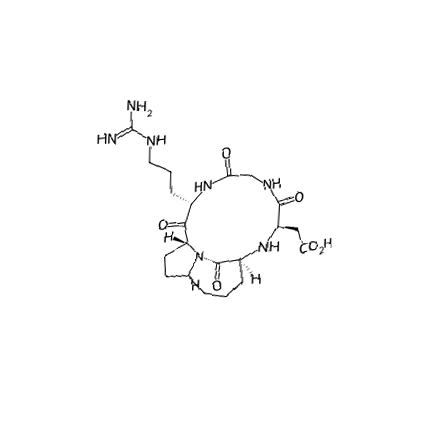 N=C(N)NCCC[C@@H]1NC(=O)CNC(=O)[C@@H](CC(=O)O)N[C@H]2CCC[C@H]3CC[C@H](C1=O)N3C2=O